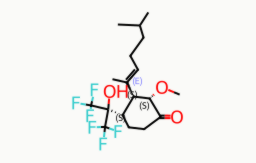 CO[C@@H]1C(=O)CC[C@H](C(O)(C(F)(F)F)C(F)(F)F)[C@H]1/C(C)=C/CCC(C)C